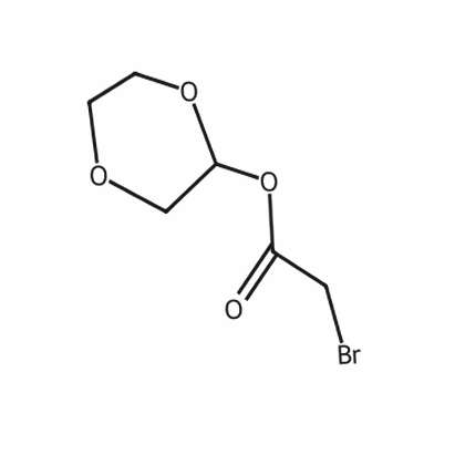 O=C(CBr)OC1COCCO1